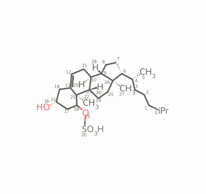 CC(C)CCC[C@@H](C)[C@H]1CC[C@H]2[C@@H]3CC=C4C[C@@H](O)CC(OS(=O)(=O)O)[C@]4(C)[C@H]3CC[C@]12C